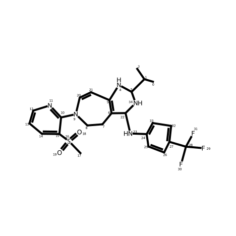 CC(C)C1NC2=C(CCN(c3ncccc3S(C)(=O)=O)C=C2)C(Nc2ccc(C(F)(F)F)cc2)N1